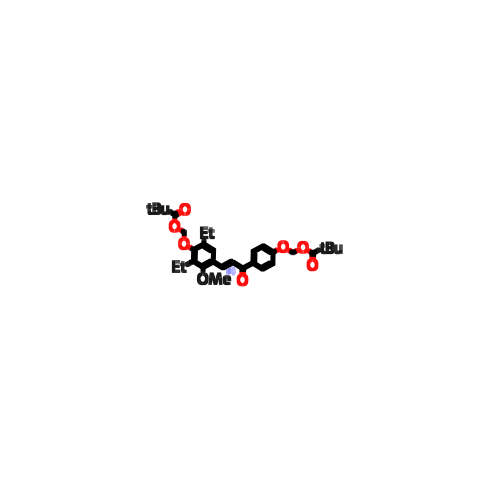 CCc1cc(/C=C/C(=O)c2ccc(OCOC(=O)C(C)(C)C)cc2)c(OC)c(CC)c1OCOC(=O)C(C)(C)C